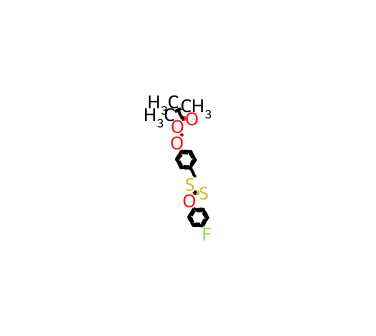 CC(C)(C)C(=O)OCOc1ccc(CSC(=S)Oc2ccc(F)cc2)cc1